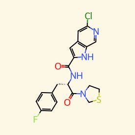 O=C(N[C@@H](Cc1ccc(F)cc1)C(=O)N1CCSC1)c1cc2cc(Cl)ncc2[nH]1